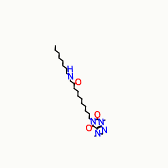 CCCCCCCCNCC(=O)CCCCCCCCCn1c(=O)c2c(ncn2C)n(C)c1=O